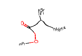 CCCCCCC(CCC)C(=O)OCCC